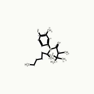 CCCCCC(C)N(C(=O)C(C)C(C)(C)C)c1ccc(F)c(C)c1